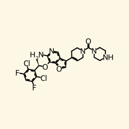 C[C@@H](Oc1c(N)ncc2c(C3=CCN(C(=O)N4CCNCC4)CC3)coc12)c1c(Cl)c(F)cc(F)c1Cl